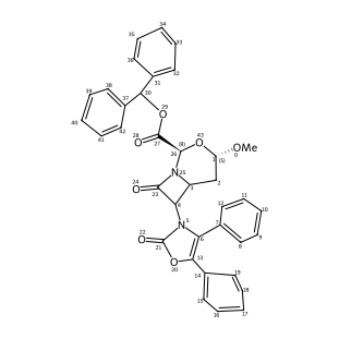 CO[C@@H]1CC2C(n3c(-c4ccccc4)c(-c4ccccc4)oc3=O)C(=O)N2[C@@H](C(=O)OC(c2ccccc2)c2ccccc2)O1